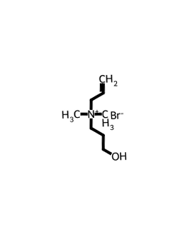 C=CC[N+](C)(C)CCCO.[Br-]